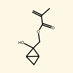 C=C(C)C(=O)OCC1(O)C2CC21